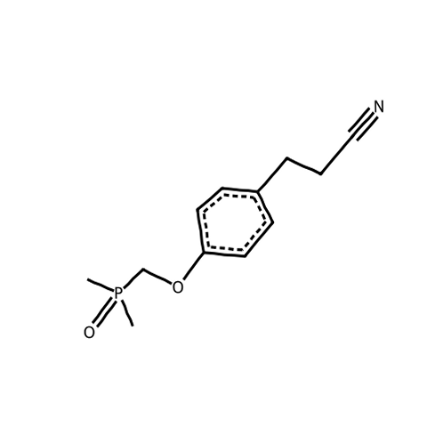 CP(C)(=O)COc1ccc(CCC#N)cc1